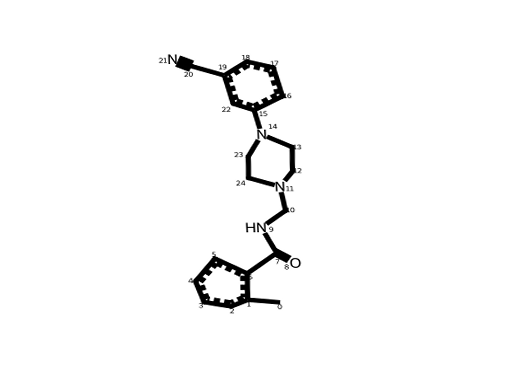 Cc1ccccc1C(=O)NCN1CCN(c2cccc(C#N)c2)CC1